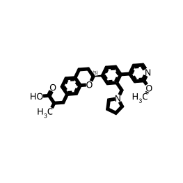 COc1cc(-c2ccc([C@@H]3CCc4ccc(CC(C)C(=O)O)cc4O3)cc2CN2CCCC2)ccn1